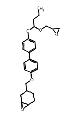 CCCC(OCC1CO1)Oc1ccc(-c2ccc(OCC3CCC4OC4C3)cc2)cc1